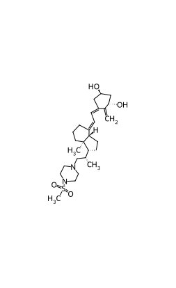 C=C1/C(=C\C=C2/CCC[C@]3(C)[C@@H]([C@H](C)CN4CCN(S(C)(=O)=O)CC4)CC[C@@H]23)C[C@@H](O)C[C@@H]1O